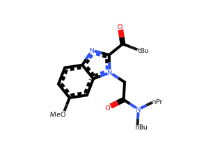 CCCCN(CCC)C(=O)Cn1c(C(=O)C(C)(C)C)nc2ccc(OC)cc21